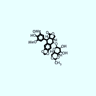 COc1cc(C2c3cc4c(cc3[C@@H](O[C@@H]3O[C@@H]5CO[C@@H](C)O[C@H]5[C@H](O)[C@H]3O)[C@H]3COC(=O)[C@H]23)OCO4)cc(OC)c1O